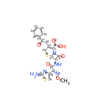 CON=C(C(=O)NC1C(=O)N2C(C(=O)O)=C(CC(=O)c3ccccc3)CSC12)c1csc(N)n1